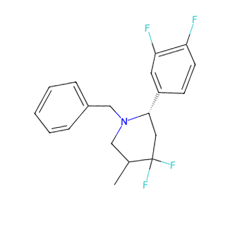 CC1CN(Cc2ccccc2)[C@H](c2ccc(F)c(F)c2)CC1(F)F